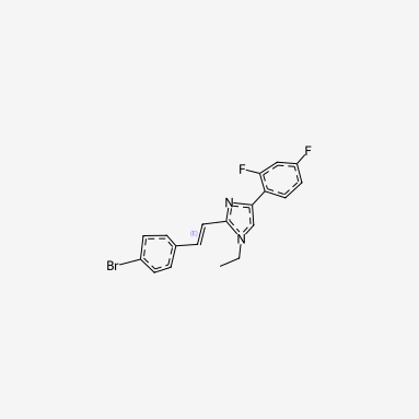 CCn1cc(-c2ccc(F)cc2F)nc1/C=C/c1ccc(Br)cc1